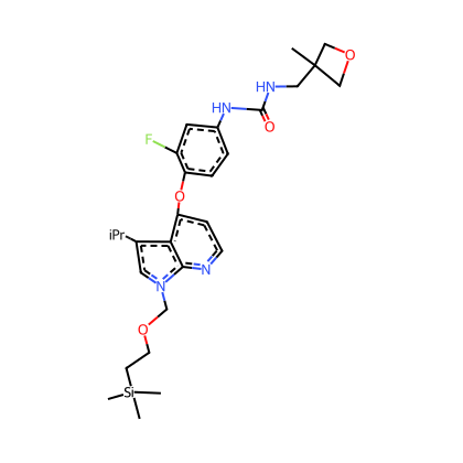 CC(C)c1cn(COCC[Si](C)(C)C)c2nccc(Oc3ccc(NC(=O)NCC4(C)COC4)cc3F)c12